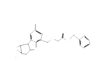 Cc1cc(COCC(=O)OCc2ccccc2)c2c(c1)C1C(C[C@H]3O[C@@H]13)O2